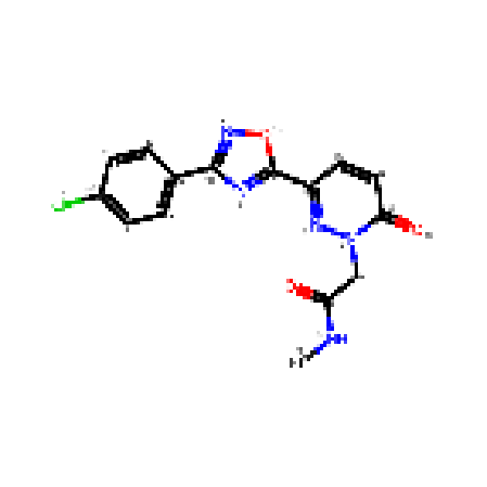 CCNC(=O)Cn1nc(-c2nc(-c3ccc(Cl)cc3)no2)ccc1=O